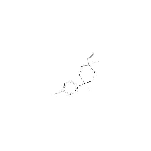 C=C[C@]1(O)CC[C@@](C#N)(c2ccc(N)cn2)CC1